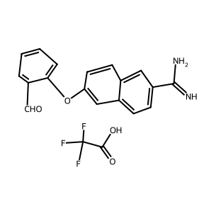 N=C(N)c1ccc2cc(Oc3ccccc3C=O)ccc2c1.O=C(O)C(F)(F)F